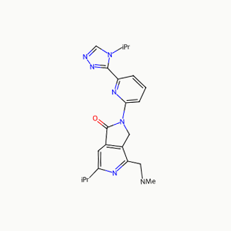 CNCc1nc(C(C)C)cc2c1CN(c1cccc(-c3nncn3C(C)C)n1)C2=O